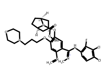 C=Nc1cc(OCCCN2CCOCC2)c(O[C@@H]2C[C@H]3CC[C@@H](C2)N3C(=O)OC(C)(C)C)cc1/C(=N\C)Nc1ccc(Cl)c(Cl)c1F